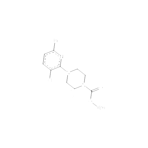 C[C@@H]1CN(c2nc(Br)ccc2Cl)C[C@H](C)N1C(=O)OC(C)(C)C